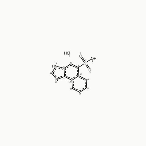 Cl.O=S(=O)(O)c1cc2[nH]cnc2c2ccccc12